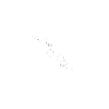 Cc1nc2cc(-c3ccc4c(c3)NC(=O)C3(CCN(C#N)C3)C4)ccc2s1